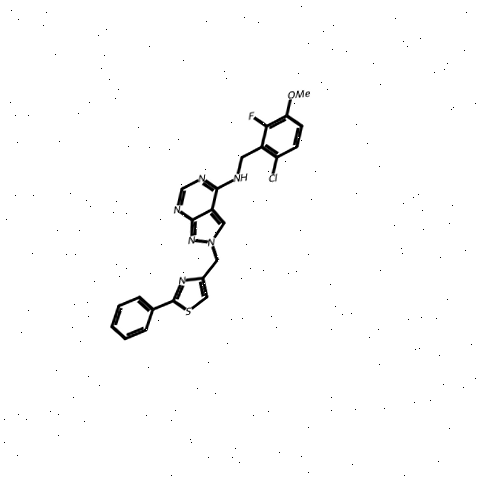 COc1ccc(Cl)c(CNc2ncnc3nn(Cc4csc(-c5ccccc5)n4)cc23)c1F